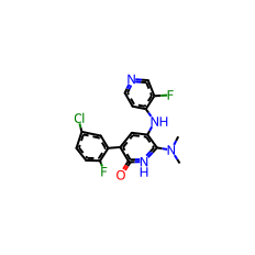 CN(C)c1[nH]c(=O)c(-c2cc(Cl)ccc2F)cc1Nc1ccncc1F